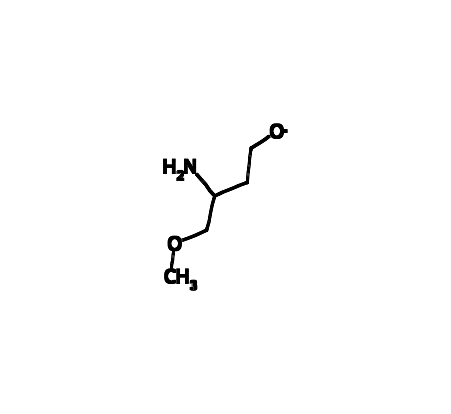 COCC(N)CC[O]